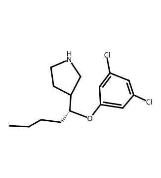 CCCC[C@@H](Oc1cc(Cl)cc(Cl)c1)C1CCNC1